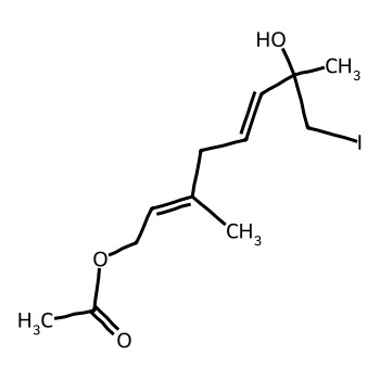 CC(=O)OC/C=C(\C)C/C=C/C(C)(O)CI